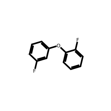 Fc1[c]ccc(Oc2ccccc2F)c1